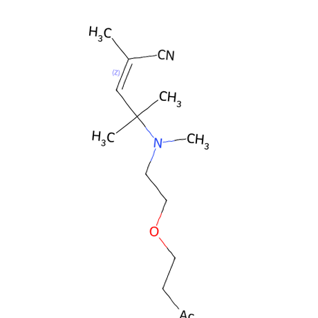 CC(=O)CCOCCN(C)C(C)(C)/C=C(/C)C#N